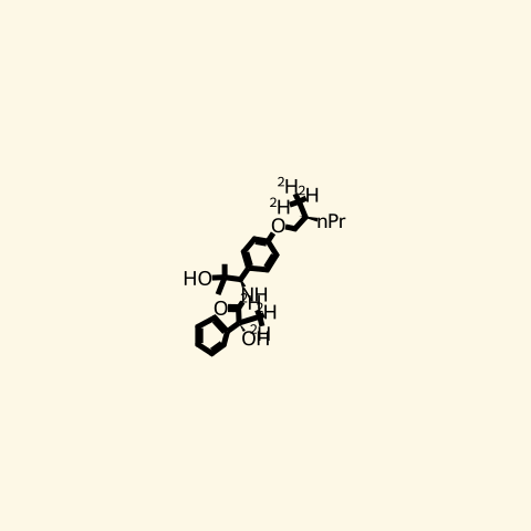 [2H]C([2H])([2H])[C@@H](CCC)COc1ccc([C@@H](NC(=O)[C@](O)(c2ccccc2)C([2H])([2H])[2H])C(C)(C)O)cc1